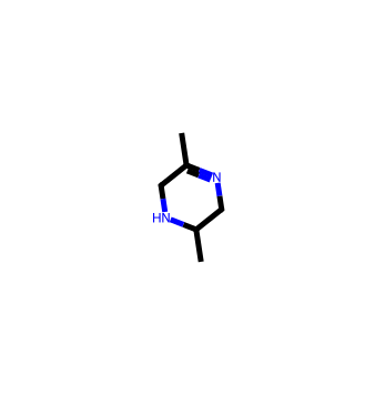 CC1=NCC(C)NC1